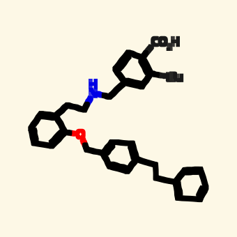 CC(C)(C)c1cc(CNCCc2ccccc2OCc2ccc(CCc3ccccc3)cc2)ccc1C(=O)O